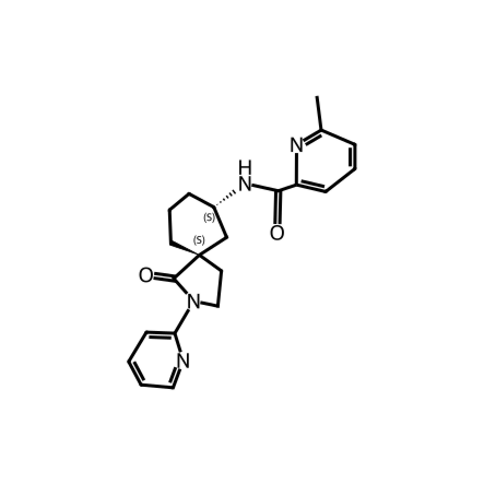 Cc1cccc(C(=O)N[C@H]2CCC[C@]3(CCN(c4ccccn4)C3=O)C2)n1